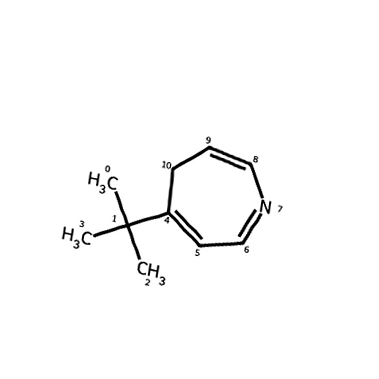 CC(C)(C)C1=CC=NC=CC1